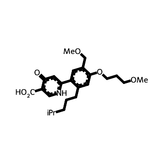 COCCCOc1cc(CCCC(C)C)c(-c2cc(=O)c(C(=O)O)c[nH]2)cc1COC